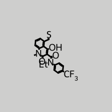 CCN(C(=O)c1c(O)c2c(C=S)cccc2n(C)c1=O)c1ccc(C(F)(F)F)cc1